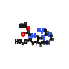 CC(C)(C)OC(=O)N[C@@H](Cc1cc2ncnc(N)n2c1)C(=O)O